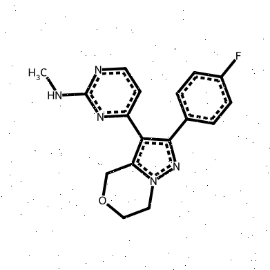 CNc1nccc(-c2c(-c3ccc(F)cc3)nn3c2COCC3)n1